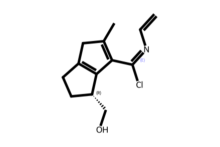 C=C/N=C(/Cl)C1=C(C)CC2=C1[C@H](CO)CC2